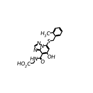 Cc1ccccc1CSc1cc(O)c(C(=O)NCC(=O)O)c2ncnn12